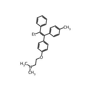 CCC(=C(c1ccc(C)cc1)c1ccc(OCCN(C)C)cc1)c1ccccc1